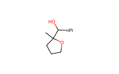 CCCC(O)C1(C)CCCO1